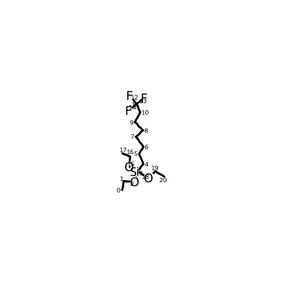 CCO[Si](CCCCCCCC(F)(F)F)(OCC)OCC